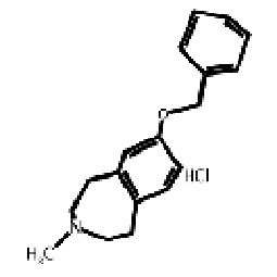 CN1CCc2ccc(OCc3ccccc3)cc2CC1.Cl